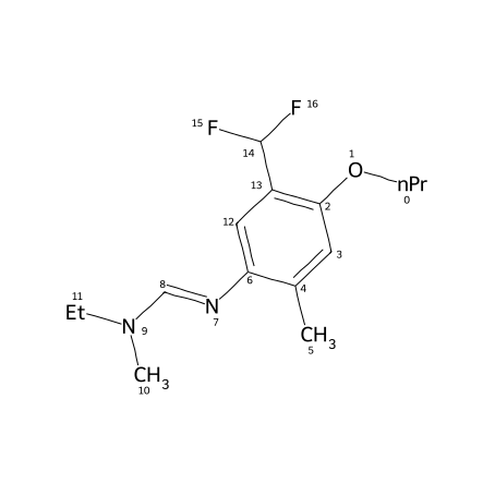 CCCOc1cc(C)c(N=CN(C)CC)cc1C(F)F